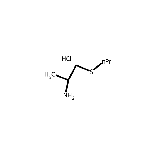 CCCSCC(C)N.Cl